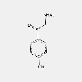 CC(=O)NCC(=O)c1ccc(C#N)cc1